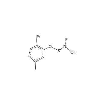 Cc1ccc(C(C)C)c(OSN(O)F)c1